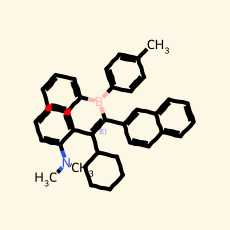 Cc1ccc(B(/C(=C(\c2ccccc2N(C)C)C2CCCCC2)c2ccc3ccccc3c2)c2ccccc2)cc1